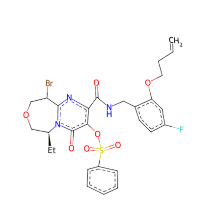 C=CCCOc1cc(F)ccc1CNC(=O)c1nc2n(c(=O)c1OS(=O)(=O)c1ccccc1)[C@@H](CC)COCC2Br